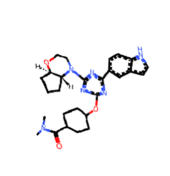 CN(C)C(=O)C1CCC(Oc2nc(-c3ccc4[nH]ccc4c3)nc(N3CCO[C@@H]4CCC[C@H]43)n2)CC1